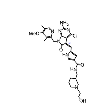 COc1c(C)cnc(CN2C(=O)/C(=C\c3cc(C(=O)NCC4CCCN(CCO)C4)c[nH]3)c3c(Cl)nc(N)nc32)c1C